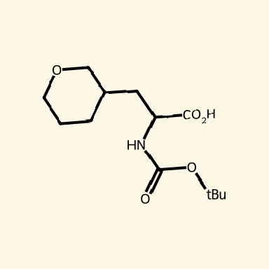 CC(C)(C)OC(=O)NC(CC1CCCOC1)C(=O)O